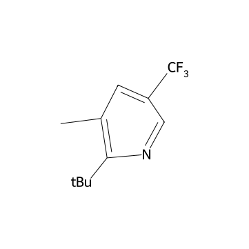 Cc1cc(C(F)(F)F)cnc1C(C)(C)C